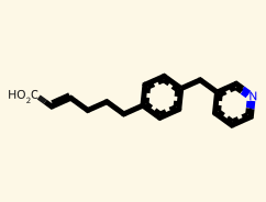 O=C(O)/C=C/CCCc1ccc(Cc2cccnc2)cc1